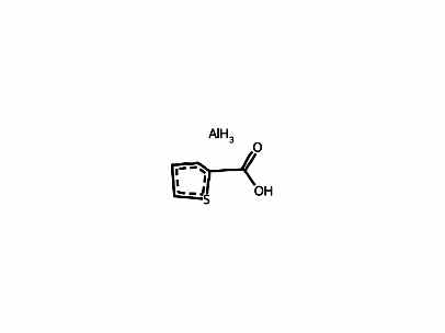 O=C(O)c1cccs1.[AlH3]